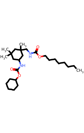 CCCCCCCCOC(=O)NCC1(C)CC(NC(=O)OC2CCCCC2)CC(C)(C)C1